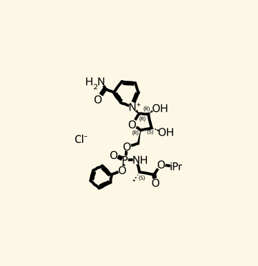 CC(C)OC(=O)[C@H](C)NP(=O)(OC[C@H]1O[C@@H]([n+]2cccc(C(N)=O)c2)[C@H](O)[C@@H]1O)Oc1ccccc1.[Cl-]